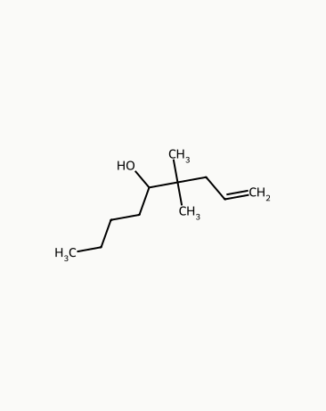 C=CCC(C)(C)C(O)CCCC